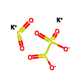 O=S([O-])S(=O)(=O)[O-].O=S=O.[K+].[K+]